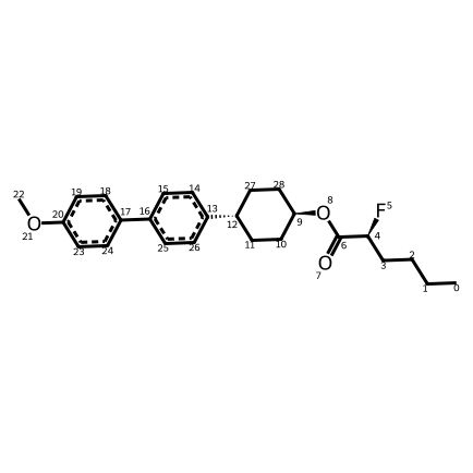 CCCC[C@H](F)C(=O)O[C@H]1CC[C@H](c2ccc(-c3ccc(OC)cc3)cc2)CC1